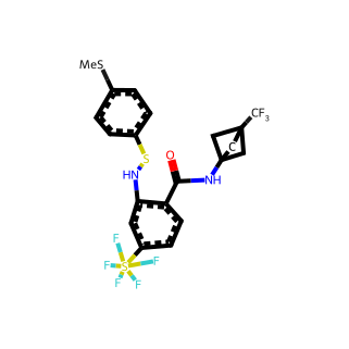 CSc1ccc(SNc2cc(S(F)(F)(F)(F)F)ccc2C(=O)NC23CC(C(F)(F)F)(C2)C3)cc1